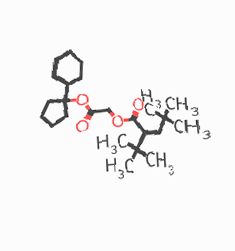 CC(C)(C)CC(C(=O)OCC(=O)OC1(C2CCCCC2)CCCC1)C(C)(C)C